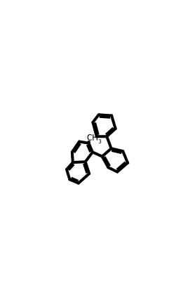 Cc1ccc2ccccc2c1-c1ccccc1-c1ccccc1